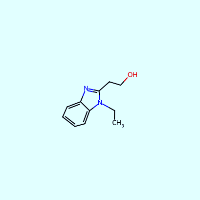 CCn1c(CCO)nc2ccccc21